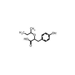 CCC(C)OC(Cc1ccc(O)cc1)C(=O)O